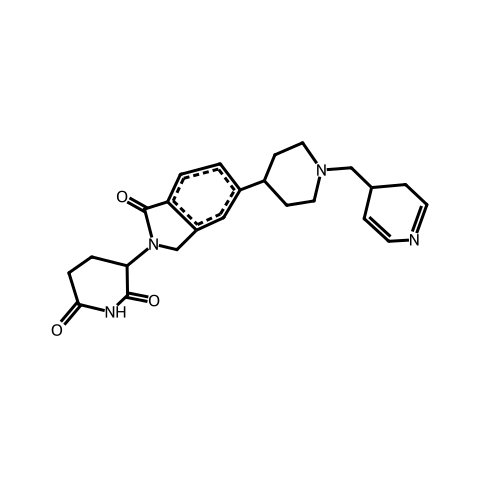 O=C1CCC(N2Cc3cc(C4CCN(CC5C=CN=CC5)CC4)ccc3C2=O)C(=O)N1